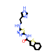 O=C(Nc1nnc(NCCc2c[nH]cn2)s1)c1cc2ccccc2s1